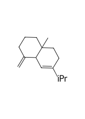 C=C1CCCC2(C)CCC(C(C)C)=CC12